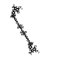 CN(C)[C@H]1Cc2c(cc(Cl)cc2C(F)(F)F)[C@@H]1Oc1ccc(S(=O)(=O)NCCOCCOCCNC(=O)NCCCCNC(=O)NCCOCCOCCNS(=O)(=O)c2ccc(O[C@H]3c4cc(Cl)cc(C(F)(F)F)c4C[C@@H]3N(C)C)cc2)cc1